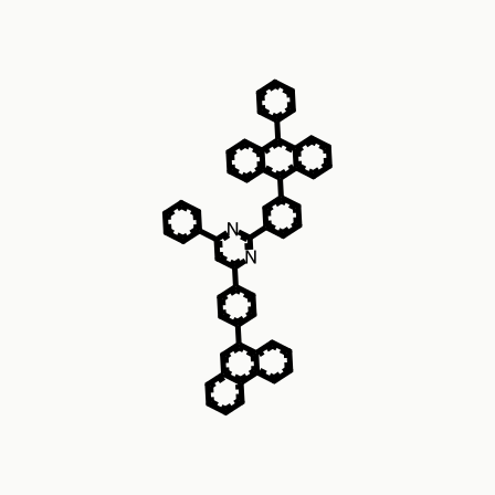 c1ccc(-c2cc(-c3ccc(-c4cc5ccccc5c5ccccc45)cc3)nc(-c3cccc(-c4c5ccccc5c(-c5ccccc5)c5ccccc45)c3)n2)cc1